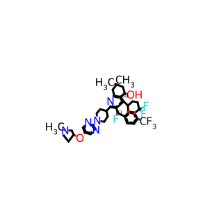 CN1CCC(Oc2cnc(N3CCC(c4nc5c(c(C6CCC(F)(F)CC6)c4[C@@H](F)c4ccc(C(F)(F)F)cc4)[C@@H](O)CC(C)(C)C5)CC3)nc2)C1